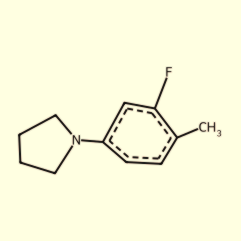 Cc1ccc(N2CCCC2)cc1F